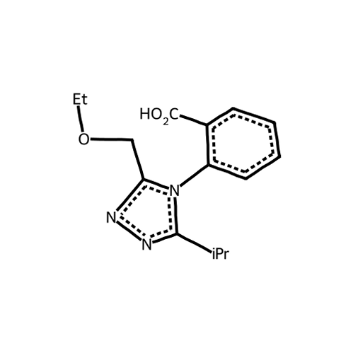 CCOCc1nnc(C(C)C)n1-c1ccccc1C(=O)O